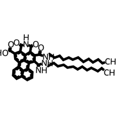 CCCCCCCCCCCCCNC(=N)c1c(C(=O)NCCCCCCCCCCCCC)c2c3c(c(C(=O)O)cc4c5cccc6cccc(c1c34)c65)C(=O)NC2=O